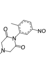 Cc1ccc([N+](=O)[O-])cc1N1C(=O)CN(C)CC1=O